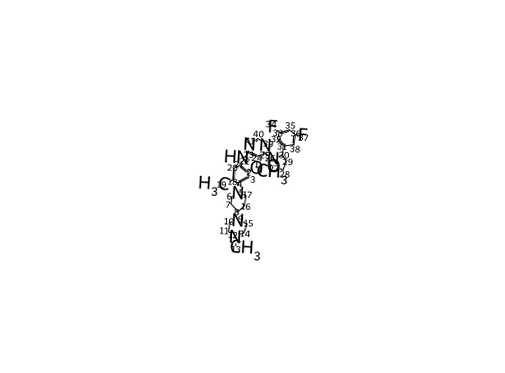 COc1cc(N2CCC(N3CCN(C)CC3)CC2)c(C)cc1Nc1cc(N2OCCC2c2cc(F)cc(F)c2)ncn1